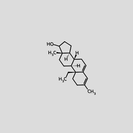 CC[C@]12CCC(C)=CC1=CC[C@@H]1[C@@H]2CC[C@]2(C)C(O)CC[C@@H]12